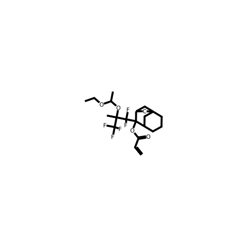 C=CC(=O)OC1(C(F)(F)C(C)(OC(C)OCC)C(F)(F)F)C2CCCC3(C2)CC1C3